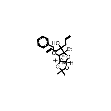 C=CCC(O)(CC=C)[C@]1(CC)O[C@@H]2OC(C)(C)O[C@H]2C1OCc1ccccc1